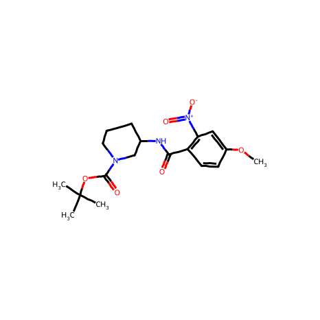 COc1ccc(C(=O)NC2CCCN(C(=O)OC(C)(C)C)C2)c([N+](=O)[O-])c1